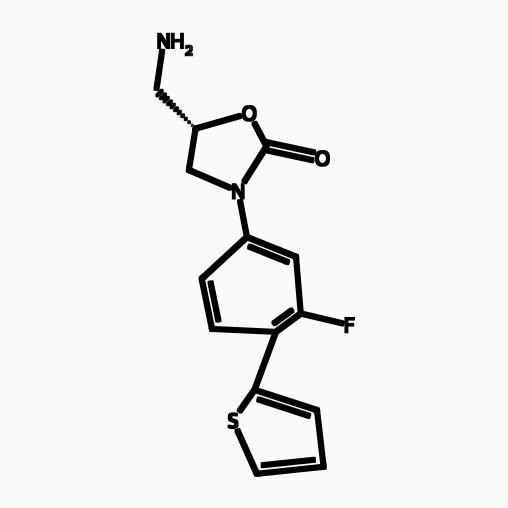 NC[C@H]1CN(c2ccc(-c3cccs3)c(F)c2)C(=O)O1